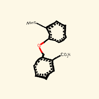 CSc1ccccc1Oc1ccccc1C(=O)O